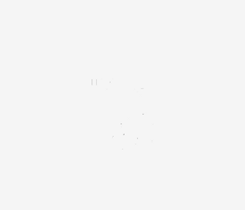 O=C(O)C(=CC12CC3CC(CC(C3)C1)C2)C(F)(F)F